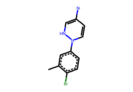 Cc1cc(N2C=CC([N])=CN2)ccc1Br